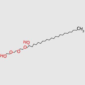 CCCCCCCCCCCCCCCCCCCCCCC(O)COCCOCCOCCO